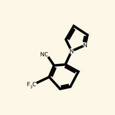 N#Cc1c(-n2cccn2)cccc1C(F)(F)F